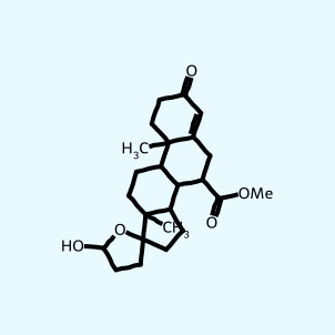 COC(=O)C1CC2=CC(=O)CCC2(C)C2CCC3(C)C(CCC34CCC(O)O4)C12